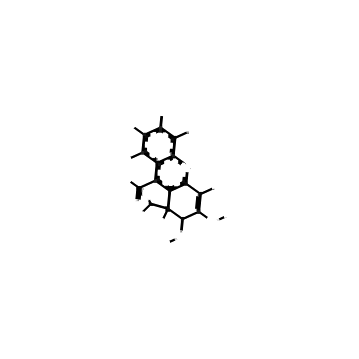 COC1=C(F)c2nc3c(F)c(F)c(F)c(F)c3c(C(=O)O)c2C(F)(C(C)C)C1OC